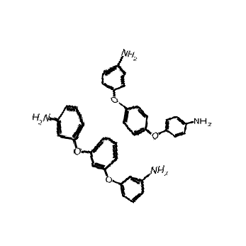 Nc1ccc(Oc2ccc(Oc3ccc(N)cc3)cc2)cc1.Nc1cccc(Oc2cccc(Oc3cccc(N)c3)c2)c1